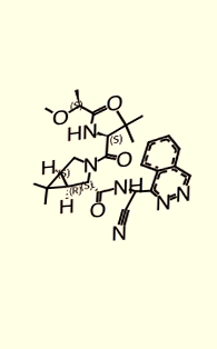 CO[C@@H](C)C(=O)N[C@H](C(=O)N1C[C@H]2[C@@H]([C@H]1C(=O)NC(C#N)c1nncc3ccccc13)C2(C)C)C(C)(C)C